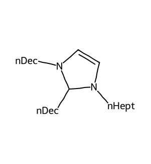 CCCCCCCCCCC1N(CCCCCCC)C=CN1CCCCCCCCCC